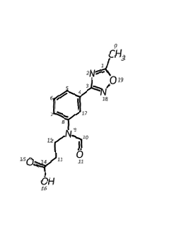 Cc1nc(-c2cccc(N(C=O)CCC(=O)O)c2)no1